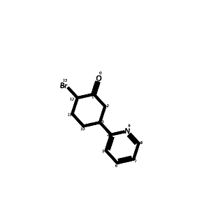 O=C1CC(c2ccccn2)CCC1Br